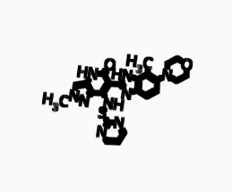 Cc1c(N2CCOCC2)ccc2nc(-c3c(NSc4ncccn4)c4nn(C)cc4[nH]c3=O)[nH]c12